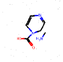 CN.O=C(O)N1C=CN=CC1